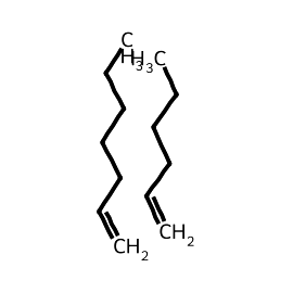 C=CCCCC.C=CCCCCC